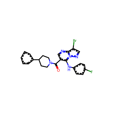 O=C(c1cnc2c(Br)cnn2c1Nc1ccc(F)cc1)N1CCC(c2ccccc2)CC1